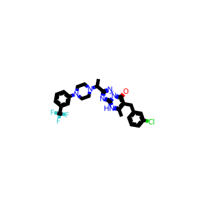 Cc1[nH]c2nc(C(C)N3CCN(c4cccc(C(F)(F)F)c4)CC3)nn2c(=O)c1Cc1cccc(Cl)c1